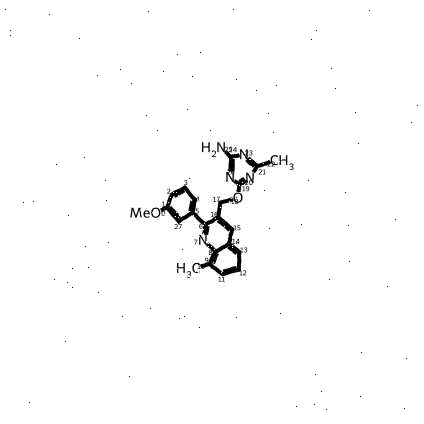 COc1cccc(-c2nc3c(C)cccc3cc2COc2nc(C)nc(N)n2)c1